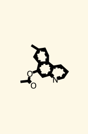 CC(=O)Oc1cc2ncccc2c2ccc(C)cc12